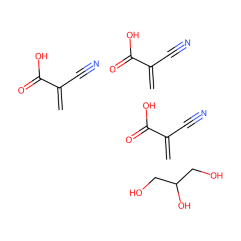 C=C(C#N)C(=O)O.C=C(C#N)C(=O)O.C=C(C#N)C(=O)O.OCC(O)CO